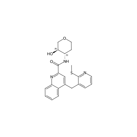 CSc1ncccc1Cc1cc(C(=O)N[C@H]2CCOC[C@@H]2O)nc2ccccc12